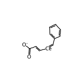 O=C([O-])C=[CH][Ce]=[CH]c1ccccc1